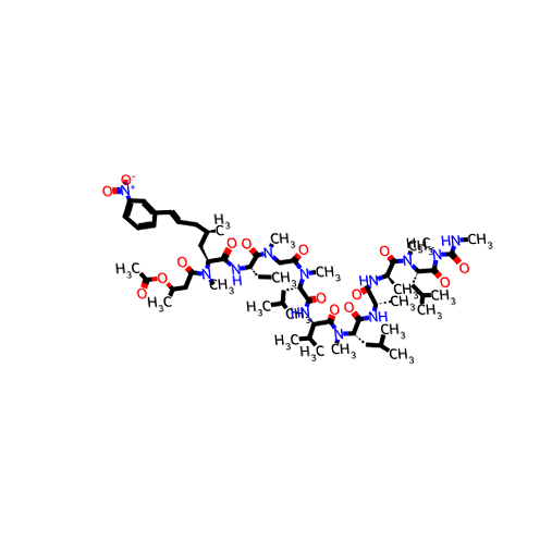 CC[C@H](NC(=O)[C@H](C[C@H](C)C/C=C/c1cccc([N+](=O)[O-])c1)N(C)C(=O)CC(C)OC(C)=O)C(=O)N(C)CC(=O)N(C)[C@@H](CC(C)C)C(=O)N[C@H](C(=O)N(C)[C@@H](CC(C)C)C(=O)N[C@@H](C)C(=O)N[C@H](C)C(=O)N(C)[C@@H](CC(C)C)C(=O)N(C)C(=O)NC)C(C)C